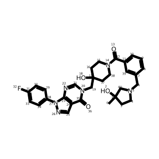 CC1(O)CCN(Cc2cccc(C(=O)N3CCC(O)(Cn4cnc5c(cnn5-c5ccc(F)cc5)c4=O)CC3)c2)C1